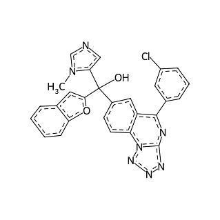 Cn1cncc1C(O)(c1ccc2c(c1)c(-c1cccc(Cl)c1)nc1nnnn12)c1cc2ccccc2o1